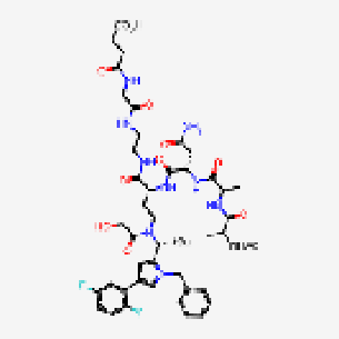 CC(=O)N[C@@H](C)C(=O)N[C@H](C)C(=O)N[C@@H](CC(N)=O)C(=O)N[C@@H](CCN(C(=O)CO)[C@@H](c1cc(-c2cc(F)ccc2F)cn1Cc1ccccc1)C(C)(C)C)C(=O)NCCNC(=O)CNC(=O)CCC(=O)O